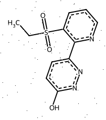 CCS(=O)(=O)c1cccnc1-c1ccc(O)nn1